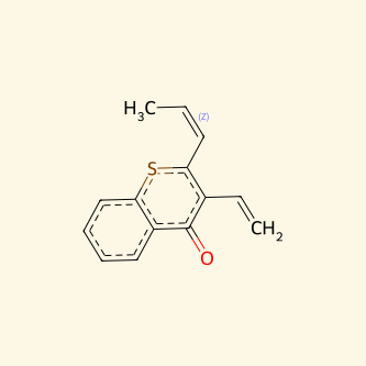 C=Cc1c(/C=C\C)sc2ccccc2c1=O